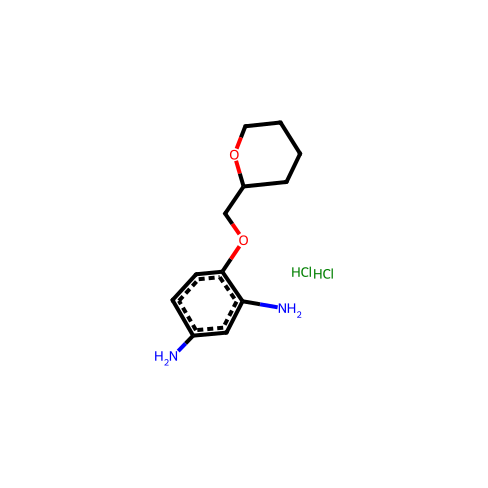 Cl.Cl.Nc1ccc(OCC2CCCCO2)c(N)c1